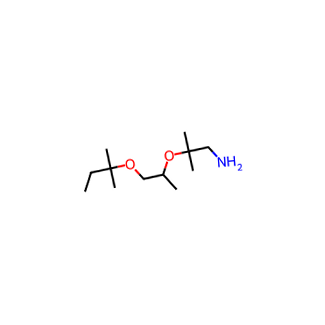 CCC(C)(C)OCC(C)OC(C)(C)CN